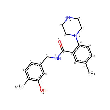 COc1ccc(CNC(=O)c2cc([N+](=O)[O-])ccc2N2CCNCC2)cc1O